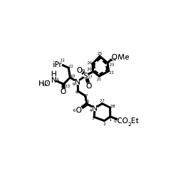 CCOC(=O)C1CCN(C(=O)CCN(C(CC(C)C)C(=O)NO)S(=O)(=O)c2ccc(OC)cc2)CC1